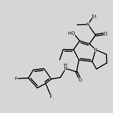 C/C=C1/C(O)=C(C(=O)N(C)CC)N2CCCC2=C1C(=O)NCc1ccc(F)cc1F